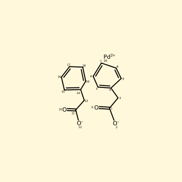 O=C([O-])Cc1ccccc1.O=C([O-])Cc1ccccc1.[Pd+2]